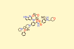 CC(C)Oc1ccccc1[C@@H]1CCCN1C1CC2(CCN(c3ccc(C(=O)NS(=O)(=O)c4ccc(NCC5CCOCC5)c([N+](=O)[O-])c4)c(N4C[C@@H]5COC[C@@H]5Oc5nc6[nH]ccc6cc54)c3)CC2)C1